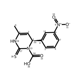 CC1=C[C@@H](c2cccc([N+](=O)[O-])c2)N(C(=O)O)C(=S)N1